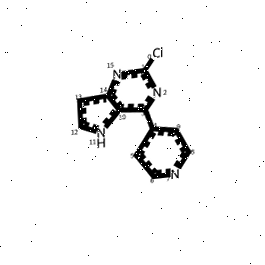 Clc1nc(-c2ccncc2)c2[nH]ccc2n1